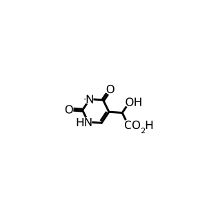 O=C1[N]C(=O)C(C(O)C(=O)O)=CN1